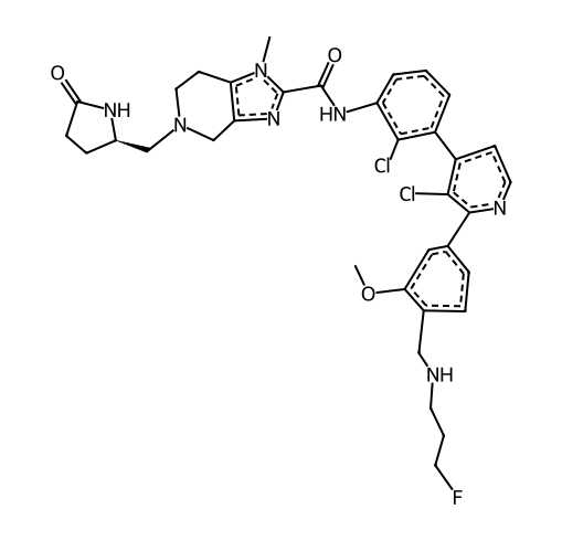 COc1cc(-c2nccc(-c3cccc(NC(=O)c4nc5c(n4C)CCN(C[C@H]4CCC(=O)N4)C5)c3Cl)c2Cl)ccc1CNCCCF